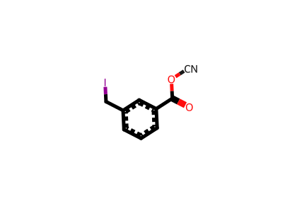 N#COC(=O)c1cccc(CI)c1